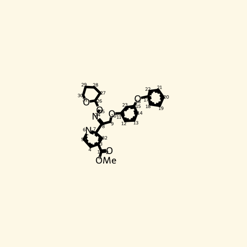 COC(=O)c1ccnc(/C(COc2cccc(Oc3ccccc3)c2)=N/OC2CCCCO2)c1